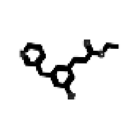 CCOC(=O)/C=C/c1cc(Br)cc(Cc2cccnc2)c1